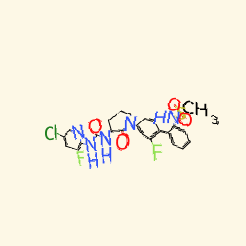 CS(=O)(=O)Nc1ccccc1-c1ccc(N2CCC[C@@H](NC(=O)Nc3ncc(Cl)cc3F)C2=O)cc1F